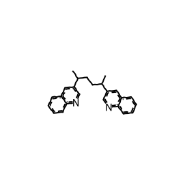 CC(CCC(C)c1cnc2ccccc2c1)c1cnc2ccccc2c1